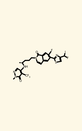 C[C@@H](CCCn1ccc2cc(-c3nc(C(F)I)cs3)c(F)cc2c1=O)Nc1cnn(C)c(=O)c1C(F)(F)F